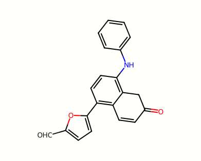 O=Cc1ccc(-c2ccc(Nc3ccccc3)c3c2C=CC(=O)C3)o1